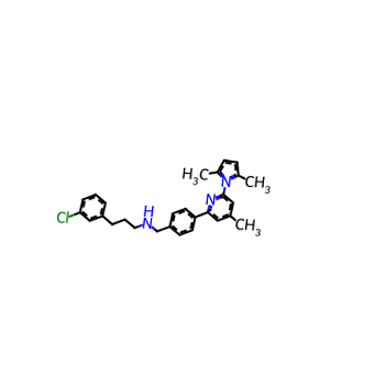 Cc1cc(-c2ccc(CNCCCc3cccc(Cl)c3)cc2)nc(-n2c(C)ccc2C)c1